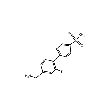 CS(=N)(=O)c1ccc(-c2ccc(CN)cc2F)cc1